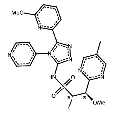 COc1cccc(-c2nnc(NS(=O)(=O)[C@@H](C)[C@H](OC)c3ncc(C)cn3)n2-c2ccncc2)n1